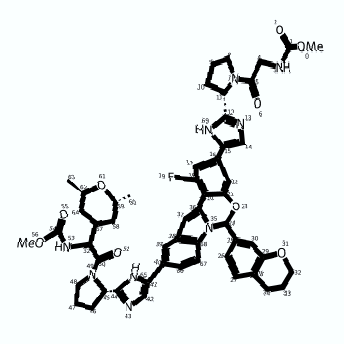 COC(=O)NCC(=O)N1CCC[C@H]1c1ncc(-c2cc(F)c3c(c2)OC(c2ccc4c(c2)OCCC4)n2c-3cc3cc(-c4cnc([C@@H]5CCCN5C(=O)C(NC(=O)OC)C5C[C@@H](C)O[C@H](C)C5)[nH]4)ccc32)[nH]1